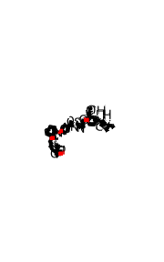 CCC(CC)NC(=O)Nc1ccc(Oc2cnc(NC(=O)c3ccc(-n4cc(CN5CCC6(CC5)OCCO6)c5ccccc54)cc3)s2)c(COC)c1